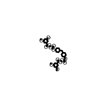 COc1cc(OC)cc(C(=O)OOC(=O)OC2CCC(CC3CCC(OC(=O)OOC(=O)c4cc(OC)cc(OC)c4)CC3)CC2)c1